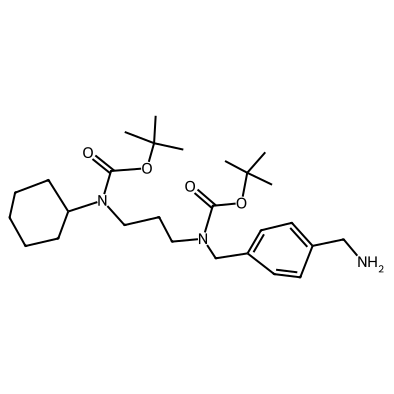 CC(C)(C)OC(=O)N(CCCN(C(=O)OC(C)(C)C)C1CCCCC1)Cc1ccc(CN)cc1